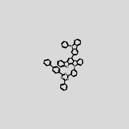 c1ccc(-c2ccc(-c3nc(-c4ccccc4)nc(-c4cccc(-n5c6ccccc6c6c(-c7ccc8c9ccccc9n(-c9ccccc9)c8c7)cc7c8ccccc8oc7c65)c4)n3)cc2)cc1